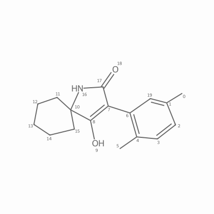 Cc1ccc(C)c(C2=C(O)C3(CCCCC3)NC2=O)c1